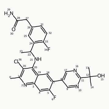 Cc1nc2cc(F)c(-c3cnc(C(C)(C)O)nc3)cc2c(NC(C)c2cc(CC(N)=O)ccc2F)c1Cl